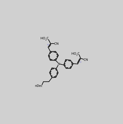 CCCCCCCCCCCCc1ccc(N(c2ccc(/C=C(/C#N)C(=O)O)cc2)c2ccc(/C=C(\C#N)C(=O)O)cc2)cc1